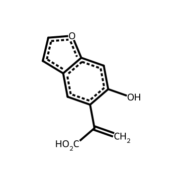 C=C(C(=O)O)c1cc2ccoc2cc1O